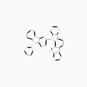 CC1(C)c2ccccc2-c2ccc3c4ncccc4n(-c4ccc5c(c4)c4ccccc4n5-c4ccccc4)c3c21